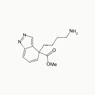 COC(=O)C1(CCCCN)C=CC=C2N=NC=C21